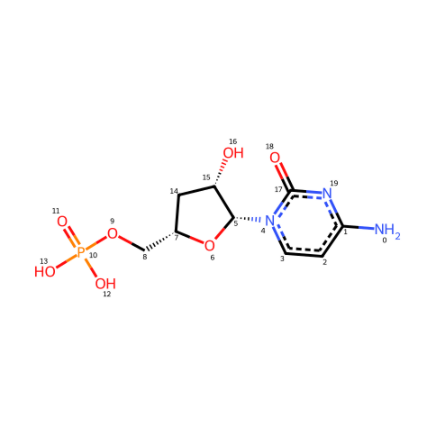 Nc1ccn([C@@H]2O[C@H](COP(=O)(O)O)C[C@@H]2O)c(=O)n1